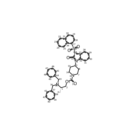 C[C@@H](COC(=O)N1CCC(n2c(=O)n(S(=O)(=O)c3cccc4ccccc34)c3ccccc32)CC1)N(Cc1ccccc1)Cc1ccccc1